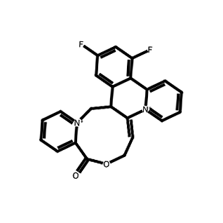 O=C1OC/C=C2\C(C[n+]3ccccc31)c1cc(F)cc(F)c1-c1cccc[n+]12